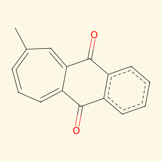 CC1=C=CC=C2C(=O)c3ccccc3C(=O)C2=C1